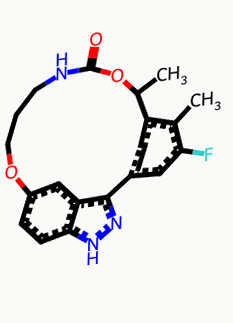 Cc1c(F)cc2cc1C(C)OC(=O)NCCCOc1ccc3[nH]nc-2c3c1